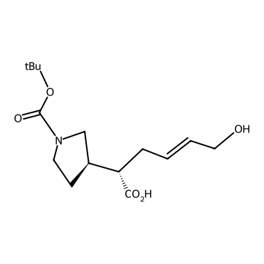 CC(C)(C)OC(=O)N1CC[C@H]([C@H](C/C=C/CO)C(=O)O)C1